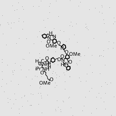 COC(=O)CCCCC(=O)N[C@H](C(=O)N[C@@H](C)C(=O)Nc1ccc(COC(=O)N2C[C@@H]3Cc4ccccc4N3C(=O)c3cc(OC)c(OCc4cccc(COc5cc6c(cc5OC)C(=O)N5c7ccccc7C[C@H]5C=N6)n4)cc32)cc1)C(C)C